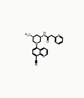 C[C@H]1C[C@@H](NC(=O)Cc2ccccn2)CN(c2ccc(C#N)c3ncccc23)C1